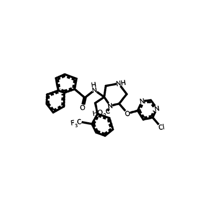 O=C(NC1(Cc2ccccc2C(F)(F)F)CNCC(Oc2cc(Cl)ncn2)N1C(=O)O)c1cccc2ccccc12